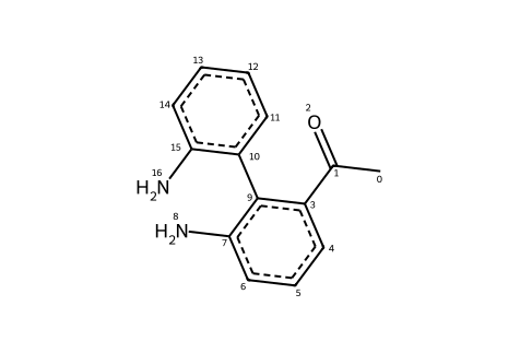 CC(=O)c1cccc(N)c1-c1ccccc1N